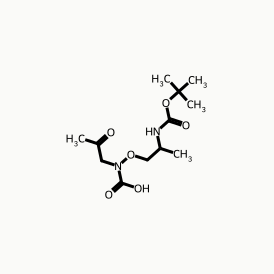 CC(=O)CN(OCC(C)NC(=O)OC(C)(C)C)C(=O)O